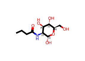 CCCC(=O)N[C@H]1[C@@H](O)[C@H](O)[C@@H](CO)O[C@@H]1O